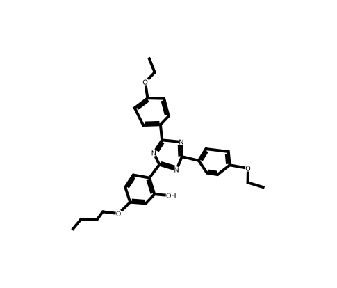 CCCCOc1ccc(-c2nc(-c3ccc(OCC)cc3)nc(-c3ccc(OCC)cc3)n2)c(O)c1